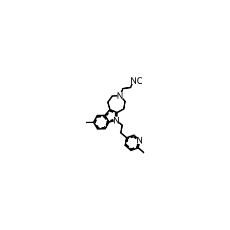 [C-]#[N+]CCN1CCc2c(n(CCc3ccc(C)nc3)c3ccc(C)cc23)CC1